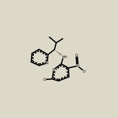 CC(C)[C@H](Nc1nc(Cl)ccc1[N+](=O)[O-])c1ccccn1